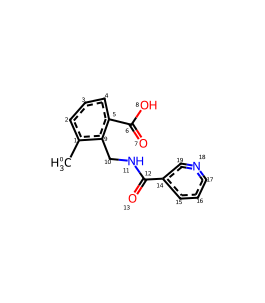 Cc1cccc(C(=O)O)c1CNC(=O)c1cccnc1